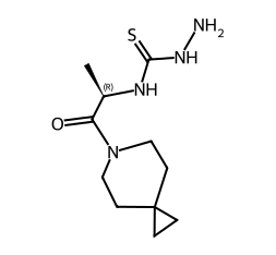 C[C@@H](NC(=S)NN)C(=O)N1CCC2(CC1)CC2